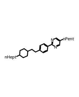 CCCCCCCC1CCC(CCc2ccc(-c3ncc(CCCCC)cn3)cc2)CC1